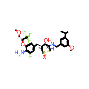 COC[C@@H](Oc1cc(C[C@@H]2C[S@@+]([O-])C[C@H](NCc3cc(OC)cc(C(C)C)c3)[C@H]2O)cc(F)c1N)C(F)(F)F